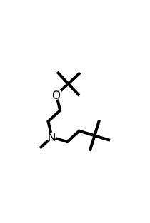 CN(CCOC(C)(C)C)CCC(C)(C)C